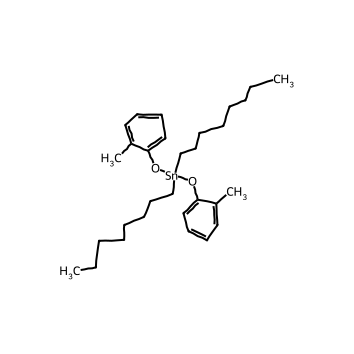 CCCCCCC[CH2][Sn]([CH2]CCCCCCC)([O]c1ccccc1C)[O]c1ccccc1C